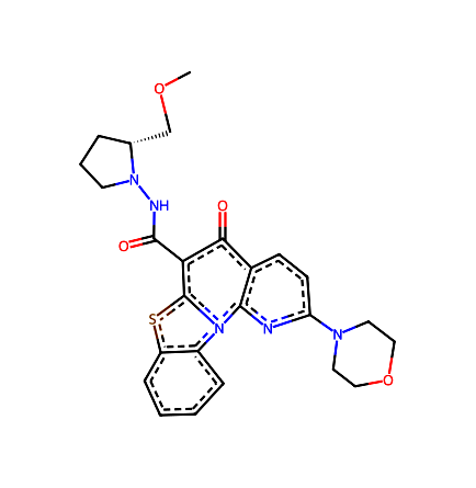 COC[C@H]1CCCN1NC(=O)c1c(=O)c2ccc(N3CCOCC3)nc2n2c1sc1ccccc12